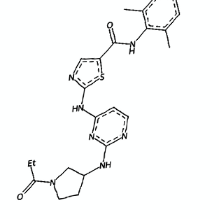 CCC(=O)N1CCC(Nc2nccc(Nc3ncc(C(=O)Nc4c(C)cccc4C)s3)n2)C1